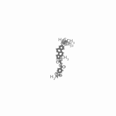 CC(C)(C)[Si](C)(C)Oc1ccc2c(c1)CCC1C2CC[C@@]2(C)C1CC[C@@H]2OC(=O)COC(=O)c1ccc(S(N)(=O)=O)cc1